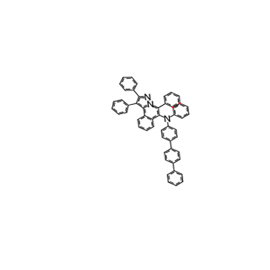 c1ccc(-c2ccc(-c3ccc(N(c4ccccc4)c4c(-c5ccccc5)n5nc(-c6ccccc6)c(-c6ccccc6)c5c5ccccc45)cc3)cc2)cc1